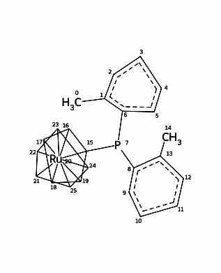 Cc1ccccc1P(c1ccccc1C)[C]12[CH]3[CH]4[CH]5[CH]1[Ru]45321678[CH]2[CH]1[CH]6[CH]7[CH]28